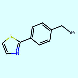 CC(C)Cc1ccc(-c2nccs2)cc1